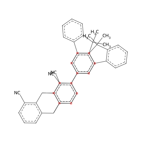 CC1(C)c2ccccc2-c2cc(-c3ccc4c(c3C#N)C3c5c(C#N)cccc5C4c4ccc(-c5ccc6c(c5)-c5ccccc5C6(C)C)c(C#N)c43)ccc21